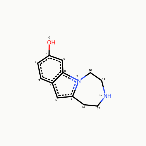 Oc1ccc2cc3n(c2c1)CCNCC3